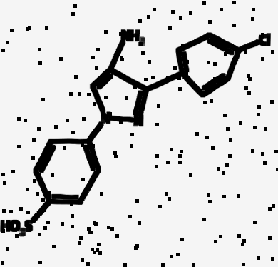 Nc1cn(-c2ccc(S(=O)(=O)O)cc2)nc1-c1ccc(Cl)cc1